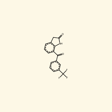 O=C1Cc2cccc(C(=O)c3cccc(C(F)(F)F)c3)c2N1